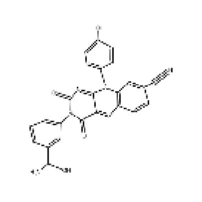 N#Cc1ccc2cc3c(=O)n(-c4cccc(C(N)O)c4)c(=O)nc-3n(-c3ccc(O)cc3)c2c1